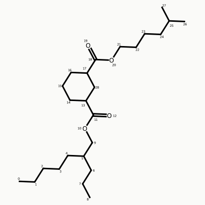 CCCCCC(CCC)COC(=O)C1CCCC(C(=O)OCCCCC(C)C)C1